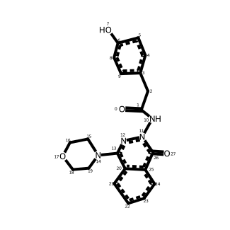 O=C(Cc1ccc(O)cc1)Nn1nc(N2CCOCC2)c2ccccc2c1=O